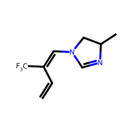 C=C/C(=C\N1C=NC(C)C1)C(F)(F)F